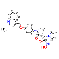 Cc1cc(COc2ccc(N3CC[C@H]([C@@H](C(=O)NO)n4cccc4)C3=O)cc2)c2ccccc2n1